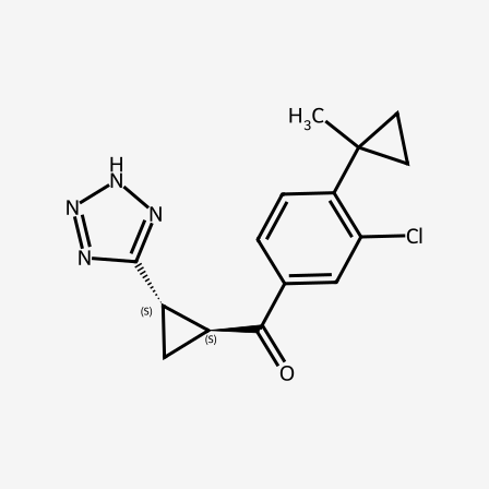 CC1(c2ccc(C(=O)[C@H]3C[C@@H]3c3nn[nH]n3)cc2Cl)CC1